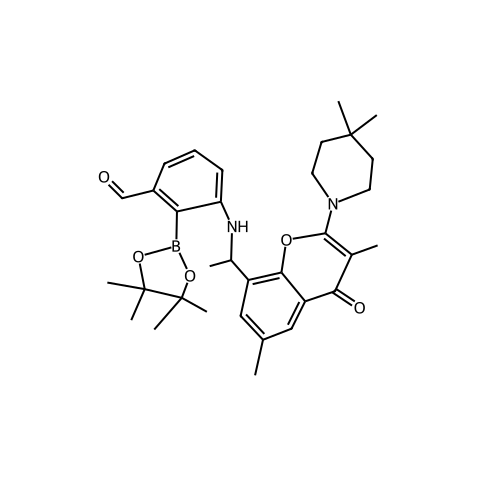 Cc1cc(C(C)Nc2cccc(C=O)c2B2OC(C)(C)C(C)(C)O2)c2oc(N3CCC(C)(C)CC3)c(C)c(=O)c2c1